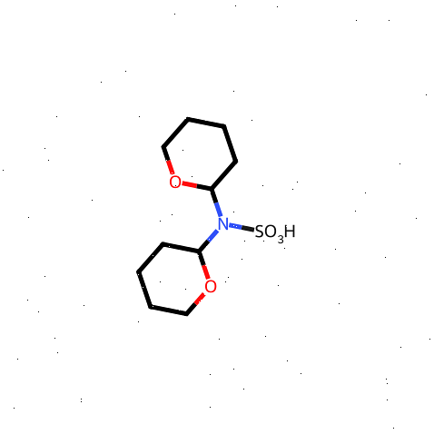 O=S(=O)(O)N(C1CCCCO1)C1CCCCO1